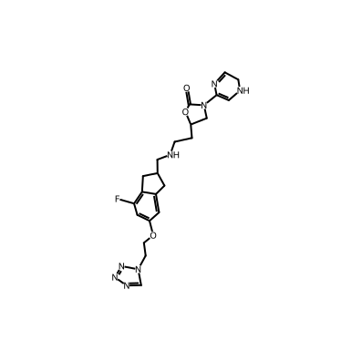 O=C1OC(CCNCC2Cc3cc(OCCn4cnnn4)cc(F)c3C2)CN1C1=CNCC=N1